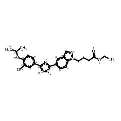 CCOC(=O)CCCn1ncc2cc(-c3noc(-c4ccc(OC(C)C)c(Cl)c4)n3)ccc21